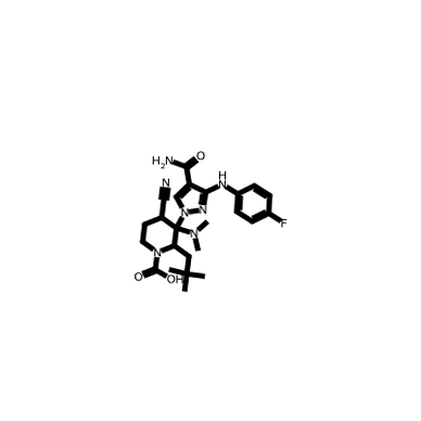 CN(C)C1(n2cc(C(N)=O)c(Nc3ccc(F)cc3)n2)C(C#N)CCN(C(=O)O)C1CC(C)(C)C